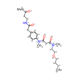 CNC(=O)CCNC(=O)Cc1ccc(N(C)C(=O)CC(=O)N(C)CCOCCCOC(C)=O)cc1